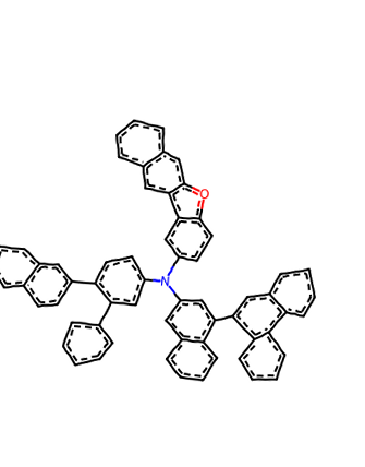 c1ccc(-c2cc(N(c3cc(-c4cc5ccccc5c5ccccc45)c4ccccc4c3)c3ccc4oc5cc6ccccc6cc5c4c3)ccc2-c2ccc3ccccc3c2)cc1